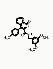 COc1cc(CNC(=O)c2oc(=O)c3ncccc3c2-c2ccc(C)cc2)cc(OC)c1